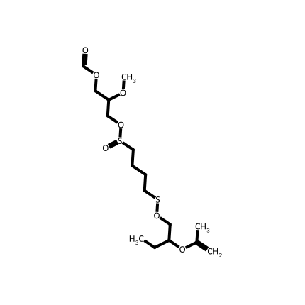 C=C(C)OC(CC)COSCCCCS(=O)OCC(COC=O)OC